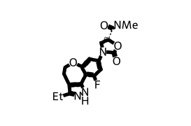 CCc1n[nH]c2c1CCOc1cc(N3C[C@H](C(=O)NC)OC3=O)cc(F)c1-2